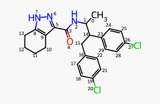 CC(NC(=O)c1n[nH]c2c1CCCC2)C(Cc1ccc(Cl)cc1)c1ccc(Cl)cc1